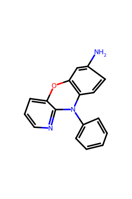 Nc1ccc2c(c1)Oc1cccnc1N2c1ccccc1